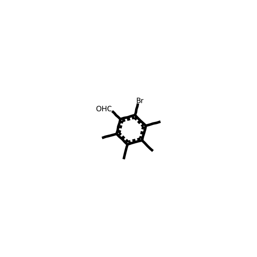 Cc1c(C)c(C)c(C=O)c(Br)c1C